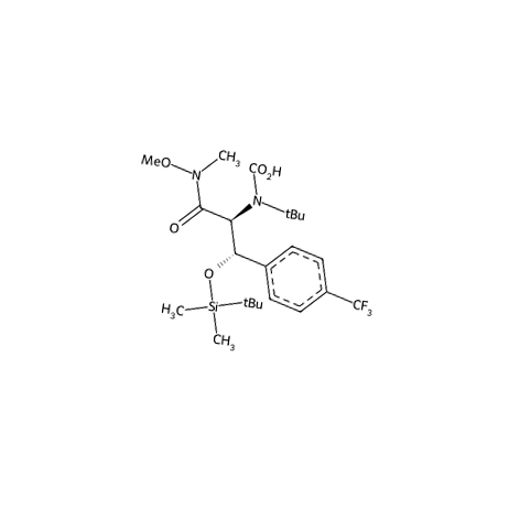 CON(C)C(=O)[C@H]([C@@H](O[Si](C)(C)C(C)(C)C)c1ccc(C(F)(F)F)cc1)N(C(=O)O)C(C)(C)C